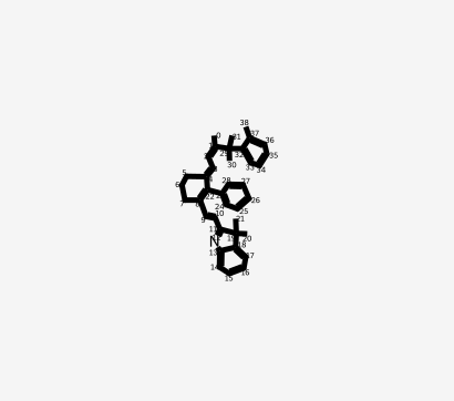 C/C(=C/C=C1\CCCC(/C=C/C2=Nc3ccccc3C2(C)C)=C1c1ccccc1)C(C)(C)c1ccccc1C